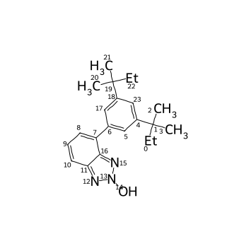 CCC(C)(C)c1cc(-c2cccc3nn(O)nc23)cc(C(C)(C)CC)c1